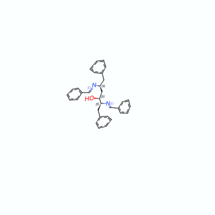 O[C@@H](C[C@H](Cc1ccccc1)/N=C/c1ccccc1)[C@H](Cc1ccccc1)/N=C/c1ccccc1